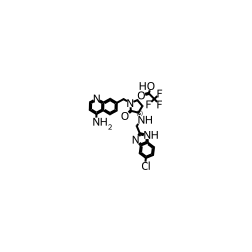 Nc1ccnc2cc(CN3CC[C@H](NCc4nc5cc(Cl)ccc5[nH]4)C3=O)ccc12.O=C(O)C(F)(F)F